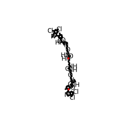 Cc1ccc(S(=O)(=O)N[C@H]2CCN(CCOCCNC(=O)NCCCCNC(=O)NCCOCCN3CC[C@H](NS(=O)(=O)c4ccc(C)c(C5CN(C)Cc6c(Cl)cc(Cl)cc65)c4)C3)C2)cc1C1CN(C)Cc2c(Cl)cc(Cl)cc21